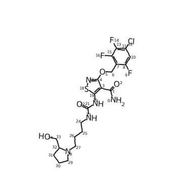 NC(=O)c1c(OCc2c(F)cc(Cl)c(F)c2F)nsc1NC(=O)NCCCCN1CCCC1CO